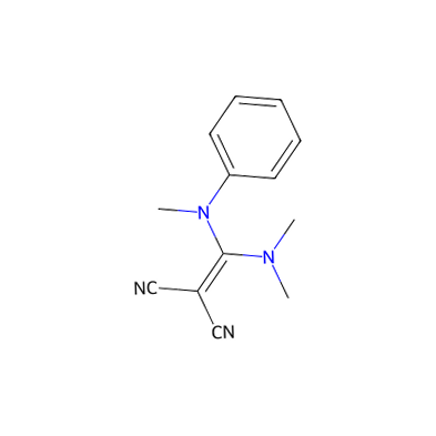 CN(C)C(=C(C#N)C#N)N(C)c1ccccc1